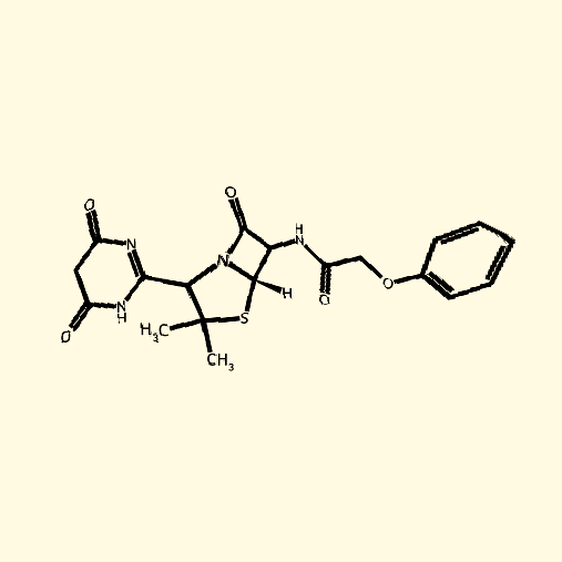 CC1(C)S[C@H]2C(NC(=O)COc3ccccc3)C(=O)N2C1C1=NC(=O)CC(=O)N1